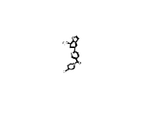 O=C(c1ccc(-c2cc(C(F)(F)F)c3occc3c2)nc1)N1CCC(Cl)CC1